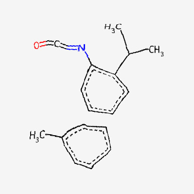 CC(C)c1ccccc1N=C=O.Cc1ccccc1